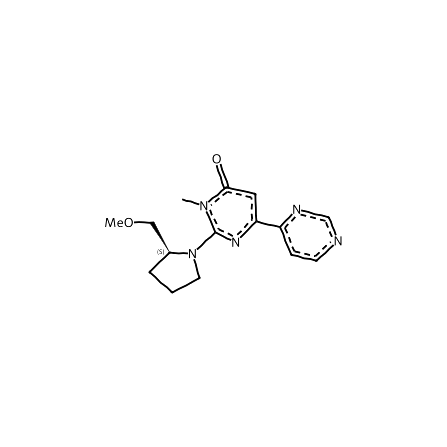 COC[C@@H]1CCCN1c1nc(-c2ccncn2)cc(=O)n1C